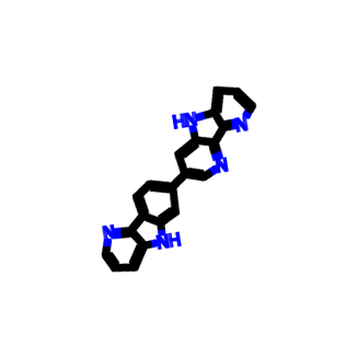 c1cnc2c(c1)[nH]c1cc(-c3cnc4c(c3)[nH]c3cccnc34)ccc12